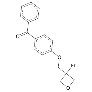 CCC1(COc2ccc(C(=O)c3ccccc3)cc2)COC1